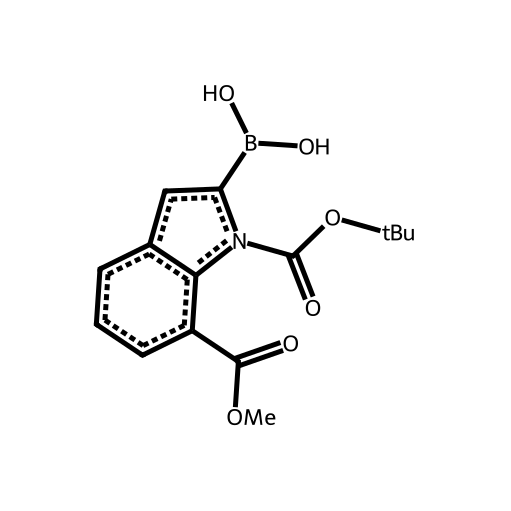 COC(=O)c1cccc2cc(B(O)O)n(C(=O)OC(C)(C)C)c12